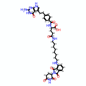 Nc1nc2[nH]cc(CCc3ccc(C(=O)NC(CCC(=O)NCCCCCCCCNc4cccc5c4C(=O)N(C4CCC(=O)NC4=O)C5=O)C(=O)O)cc3)c2c(=O)[nH]1